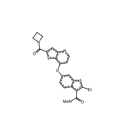 CCc1sc2cc(Oc3ccnc4cc(C(=O)N5CCC5)sc34)ccc2c1C(=O)NC